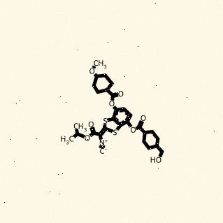 [C-]#[N+]/C(C(=O)OC(C)C)=C1\Sc2c(OC(=O)C3CCC(CO)CC3)ccc(OC(=O)C3CCC(OC)CC3)c2S1